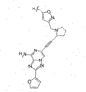 Cc1cc(CN2CCCC2C#Cc2cn3nc(-c4ccco4)nc3c(N)n2)no1